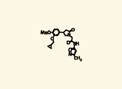 COc1ccc(C2CC(=O)N(CC(=O)Nc3cc(C)no3)C2)cc1OCC1CC1